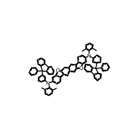 Cc1cccc(C)c1N(c1cccc(C2(c3ccccc3)c3ccccc3-c3ccccc32)c1)c1ccc2c(c1)oc1cc3cc4c(cc3cc12)oc1cc(N(c2cccc(C3(c5ccccc5)c5ccccc5-c5ccccc53)c2)c2c(C)cccc2C)ccc14